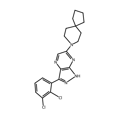 Clc1cccc(-c2n[nH]c3nc(N4CCC5(CCCC5)CC4)cnc23)c1Cl